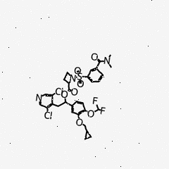 CN(C)C(=O)c1cccc(S(=O)(=O)N2CCC2C(=O)OC(Cc2c(Cl)cncc2Cl)c2ccc(OC(F)F)c(OCC3CC3)c2)c1